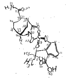 CC(C)(C)Cc1c(OS(=O)(=O)ON2C(=O)N3C[C@H]2CC[C@H]3C(N)=O)cccc1C(=O)O